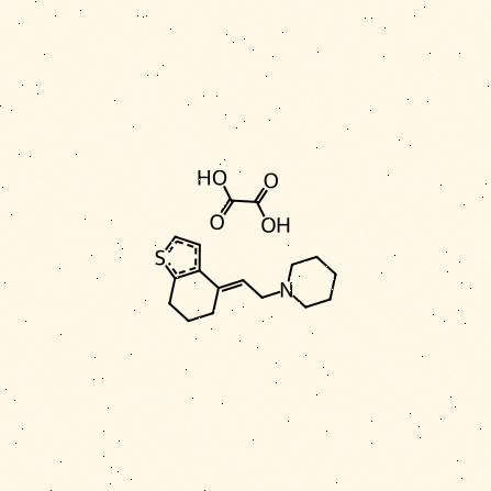 C(/CN1CCCCC1)=C1/CCCc2sccc21.O=C(O)C(=O)O